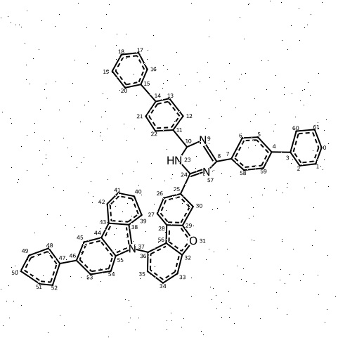 c1ccc(-c2ccc(C3=NC(c4ccc(-c5ccccc5)cc4)NC(c4ccc5c(c4)oc4cccc(-n6c7ccccc7c7cc(-c8ccccc8)ccc76)c45)=N3)cc2)cc1